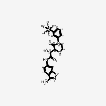 Nc1noc2cc(NC(=O)[C@H](O)C3OCCN(c4cccc(S(F)(F)(F)(F)F)c4)C3=O)ccc12